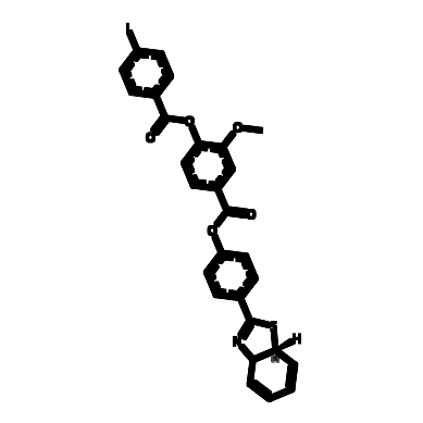 COc1cc(C(=O)Oc2ccc(C3=NC4C=CC=C[C@H]4S3)cc2)ccc1OC(=O)c1ccc(I)cc1